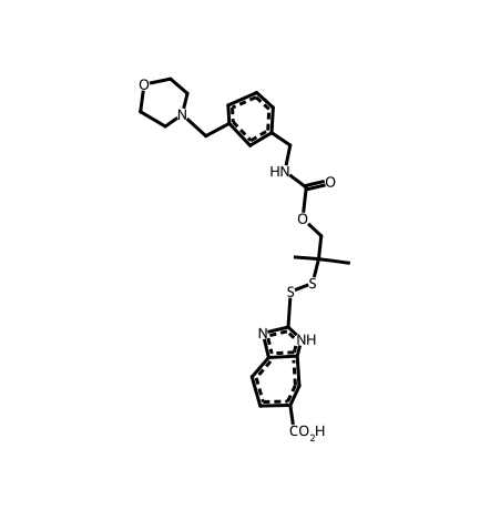 CC(C)(COC(=O)NCc1cccc(CN2CCOCC2)c1)SSc1nc2ccc(C(=O)O)cc2[nH]1